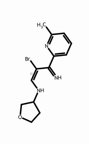 Cc1cccc(C(=N)/C(Br)=C\NC2CCOC2)n1